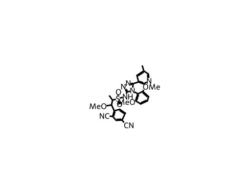 COc1cccc(OC)c1-n1c(NS(=O)(=O)C(C)C(OC)c2ccc(C#N)cc2C#N)nnc1-c1cncc(C)c1